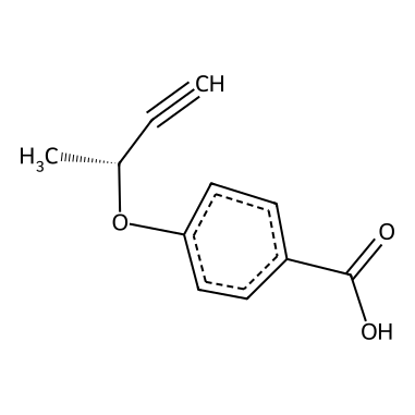 C#C[C@@H](C)Oc1ccc(C(=O)O)cc1